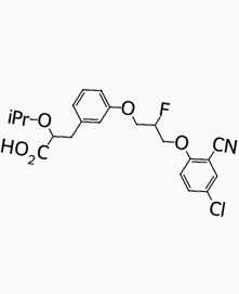 CC(C)OC(Cc1cccc(OCC(F)COc2ccc(Cl)cc2C#N)c1)C(=O)O